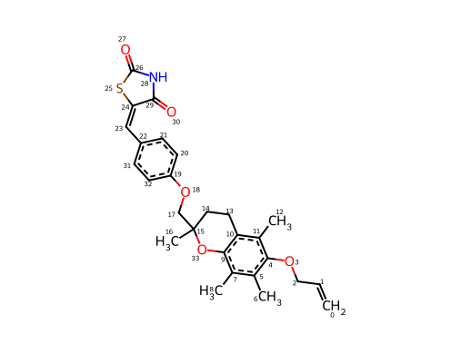 C=CCOc1c(C)c(C)c2c(c1C)CCC(C)(COc1ccc(C=C3SC(=O)NC3=O)cc1)O2